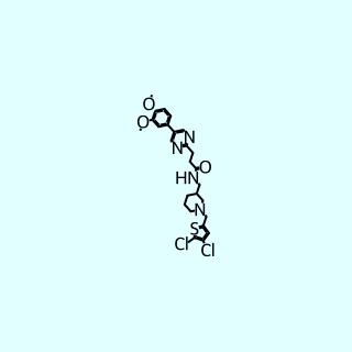 COc1ccc(-c2cnc(CCC(=O)NCC3CCCN(Cc4cc(Cl)c(Cl)s4)C3)nc2)cc1OC